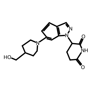 O=C1CCC(n2ncc3ccc(N4CCC(CO)CC4)cc32)C(=O)N1